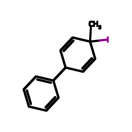 CC1(I)C=CC(c2ccccc2)C=C1